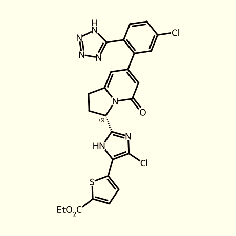 CCOC(=O)c1ccc(-c2[nH]c([C@@H]3CCc4cc(-c5cc(Cl)ccc5-c5nnn[nH]5)cc(=O)n43)nc2Cl)s1